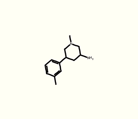 Cc1cccc(C2CC(N)CN(C)C2)c1